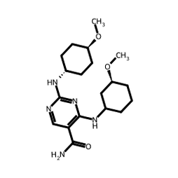 CO[C@H]1CCCC(Nc2nc(N[C@H]3CC[C@H](OC)CC3)ncc2C(N)=O)C1